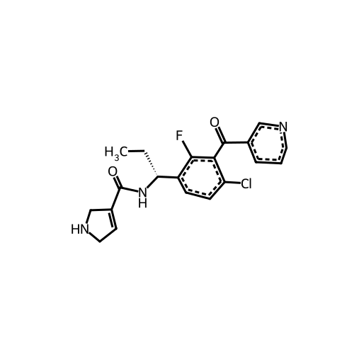 CC[C@@H](NC(=O)C1=CCNC1)c1ccc(Cl)c(C(=O)c2cccnc2)c1F